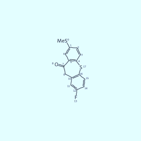 CSc1ccc2c(c1)C(=O)Cc1cc(F)ccc1S2